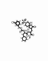 COC(=O)C(CC1CC2(CCN(S(C)(=O)=O)CC2)NC1=O)NC(=O)C(CC1CCCCC1)NC(=O)OCc1cccc(Cl)c1